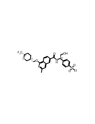 CCS(=O)(=O)c1ccc([C@H](CO)NC(=O)c2ccc3c(OC[C@H]4CC[C@@H](C(F)(F)F)OC4)nc(C)cc3c2)cc1